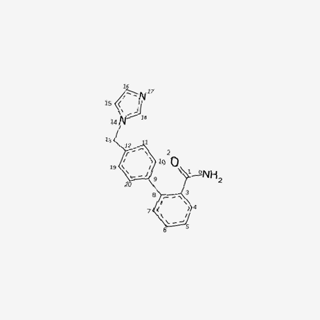 NC(=O)c1ccccc1-c1ccc(Cn2ccnc2)cc1